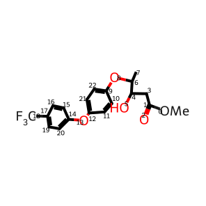 COC(=O)CC(O)C(C)Oc1ccc(Oc2ccc(C(F)(F)F)cc2)cc1